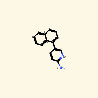 Nc1ccc(-c2cccc3ccccc23)cn1